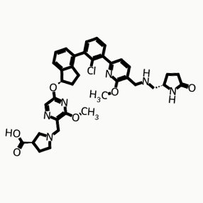 COc1nc(-c2cccc(-c3cccc4c3CC[C@@H]4Oc3cnc(CN4CC[C@@H](C(=O)O)C4)c(OC)n3)c2Cl)ccc1CNC[C@@H]1CCC(=O)N1